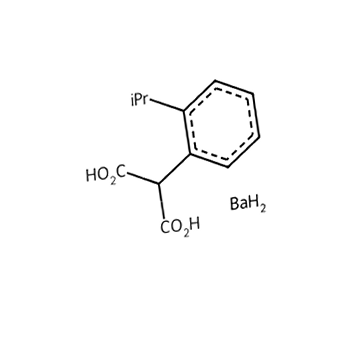 CC(C)c1ccccc1C(C(=O)O)C(=O)O.[BaH2]